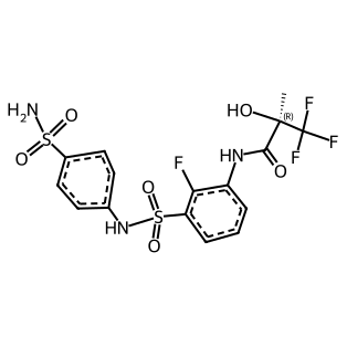 C[C@@](O)(C(=O)Nc1cccc(S(=O)(=O)Nc2ccc(S(N)(=O)=O)cc2)c1F)C(F)(F)F